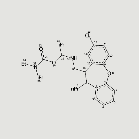 CCCC1c2ccccc2Oc2ccc(Cl)cc2C1CNC(OC(=O)N(CC)C(C)C)C(C)C